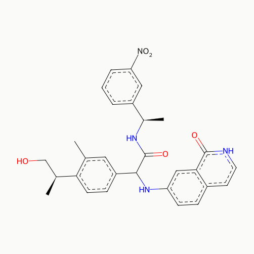 Cc1cc(C(Nc2ccc3cc[nH]c(=O)c3c2)C(=O)N[C@H](C)c2cccc([N+](=O)[O-])c2)ccc1[C@@H](C)CO